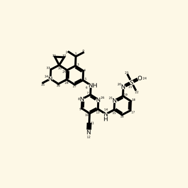 CC(C)c1cc(Nc2ncc(C#N)c(Nc3cccc(N=S(C)(C)=O)n3)n2)cc2c1C1(CC1)CN(C)C2